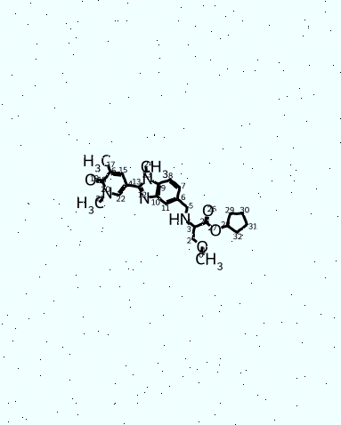 COCC(NCc1ccc2c(c1)nc(-c1cc(C)c(=O)n(C)c1)n2C)C(=O)OC1CCCC1